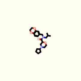 CC(C)CN(Cc1ccc2c(c1)OCCO2)C(=O)C1CN(C2CCCC2)CCO1